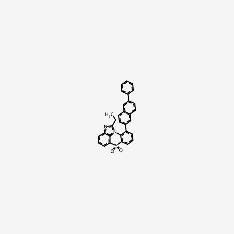 CCc1nc2cccc3c2n1-c1c(-c2ccc4cc(-c5ccccc5)ccc4c2)cccc1S3(=O)=O